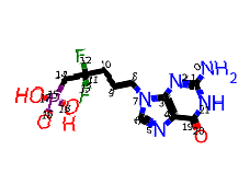 Nc1nc2c(ncn2CCCC(F)(F)CP(=O)(O)O)c(=O)[nH]1